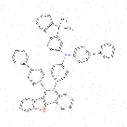 CC1(C)c2ccccc2-c2ccc(N(c3ccc(-c4ccccc4)cc3)c3ccc(-c4c(-c5ccc(-c6ccccc6)cc5)c5c6ccccc6oc5c5ccccc45)cc3)cc21